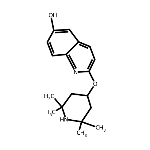 CC1(C)CC(Oc2ccc3cc(O)ccc3n2)CC(C)(C)N1